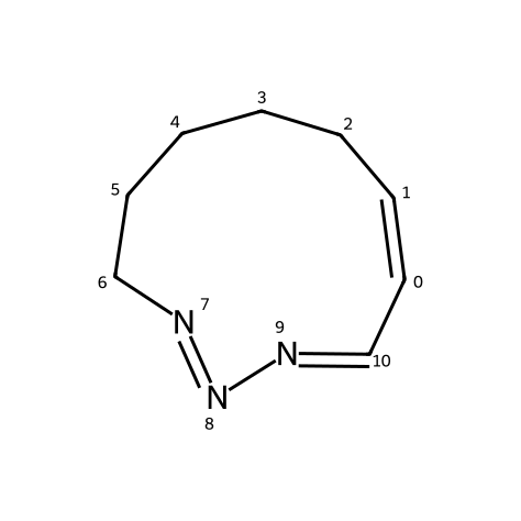 C1=C\CCCCC/N=N/N=C/1